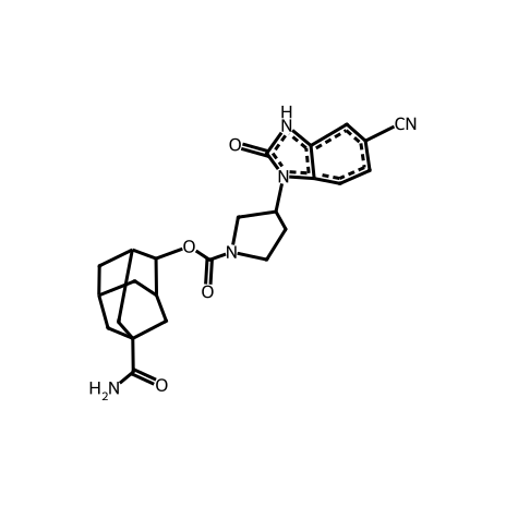 N#Cc1ccc2c(c1)[nH]c(=O)n2C1CCN(C(=O)OC2C3CC4CC2CC(C(N)=O)(C4)C3)C1